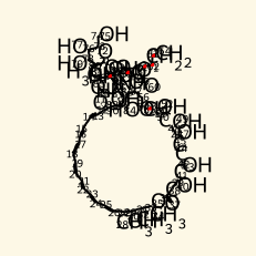 C=CCOC(=O)N[C@@H]1[C@H](O)[C@H](O[C@H]2/C=C/C=C/C=C/C=C/C=C/C=C/C=C/[C@H](C)[C@@H](O)[C@@H](C)[C@H](C)OC(=O)C[C@H](O)C[C@H](O)CC[C@@H](O)[C@H](O)C[C@H](O)C[C@]3(O)C[C@H](OC(=O)OCC=C)[C@@H](NC(=O)NO[C@@H]4OC(CO)[C@@H](O)C(O)[C@@H]4O)[C@H](C2)O3)O[C@H](C)[C@H]1O